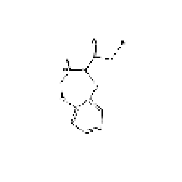 C[C@@H]1COc2ccccc2CN1C(=O)CBr